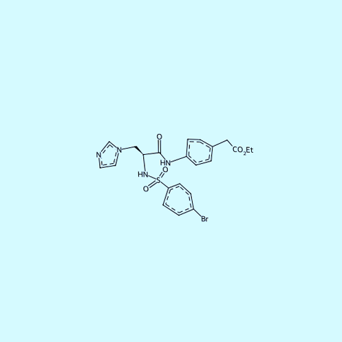 CCOC(=O)Cc1ccc(NC(=O)[C@H](Cn2ccnc2)NS(=O)(=O)c2ccc(Br)cc2)cc1